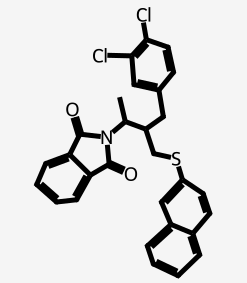 CC(C(CSc1ccc2ccccc2c1)Cc1ccc(Cl)c(Cl)c1)N1C(=O)c2ccccc2C1=O